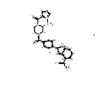 Cn1cncc1C(=O)N1CCN(C(=O)c2ccc(-c3nc4c(C(N)=O)cccc4[nH]3)cc2)CC1